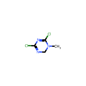 CN1CN=C(Cl)N=C1Cl